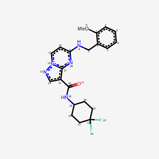 COc1ccccc1CNc1ccn2ncc(C(=O)NC3CCC(F)(F)CC3)c2n1